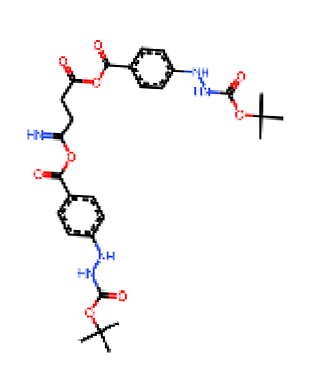 CC(C)(C)OC(=O)NNc1ccc(C(=O)OC(=N)CCC(=O)OC(=O)c2ccc(NNC(=O)OC(C)(C)C)cc2)cc1